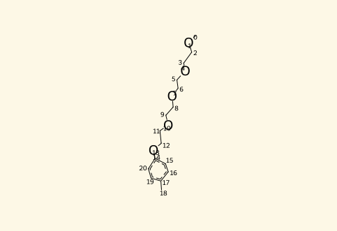 COCCOCCOCCOCCOc1ccc(C)cc1